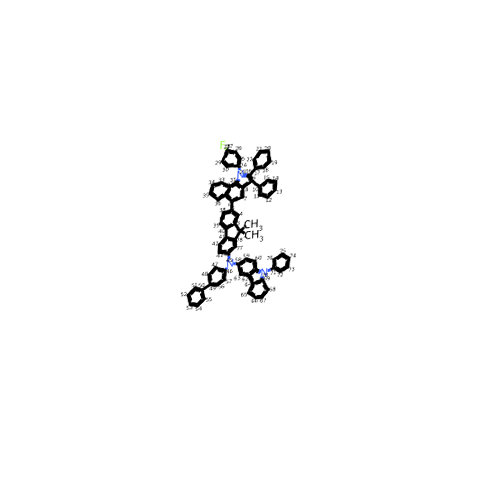 CC1(C)c2cc(-c3cc4c(-c5ccccc5)c(-c5ccccc5)n(-c5ccc(F)cc5)c4c4ccccc34)ccc2-c2ccc(N(c3ccc(-c4ccccc4)cc3)c3ccc4c(c3)c3ccccc3n4-c3ccccc3)cc21